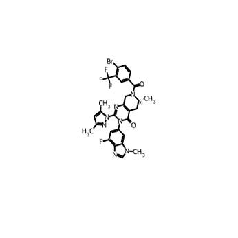 Cc1cc(C)n(-c2nc3c(c(=O)n2-c2cc(F)c4ncn(C)c4c2)C[C@@H](C)N(C(=O)c2ccc(Br)c(C(F)(F)F)c2)C3)n1